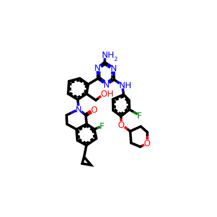 Nc1nc(Nc2ccc(OC3CCOCC3)c(F)c2)nc(-c2cccc(N3CCc4cc(C5CC5)cc(F)c4C3=O)c2CO)n1